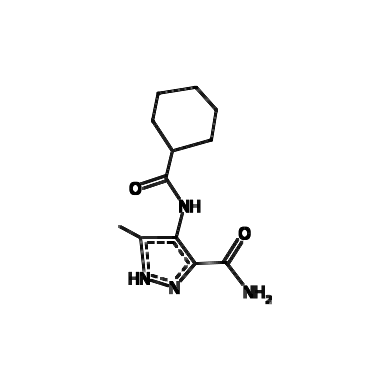 Cc1[nH]nc(C(N)=O)c1NC(=O)C1CCCCC1